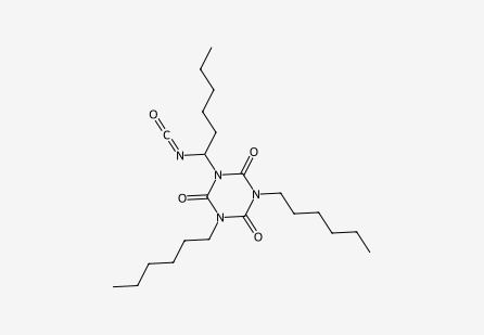 CCCCCCn1c(=O)n(CCCCCC)c(=O)n(C(CCCCC)N=C=O)c1=O